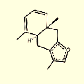 CC1=CC=C[C@]2(C)Cc3occ(C)c3C[C@@H]12